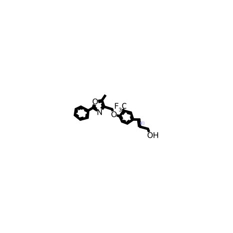 Cc1oc(-c2ccccc2)nc1COc1ccc(/C=C/CO)cc1C(F)(F)F